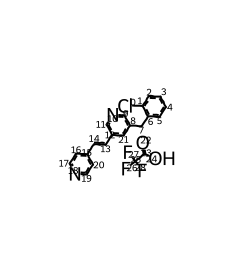 Clc1ccccc1Cc1cncc(C=Cc2ccncc2)c1.O=C(O)C(F)(F)F